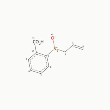 C=CC[S+]([O-])c1ccccc1C(=O)O